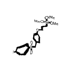 CO[Si](CCCOc1ccc(CS(=O)(=O)c2ccc(F)cc2)cc1)(OC)OC